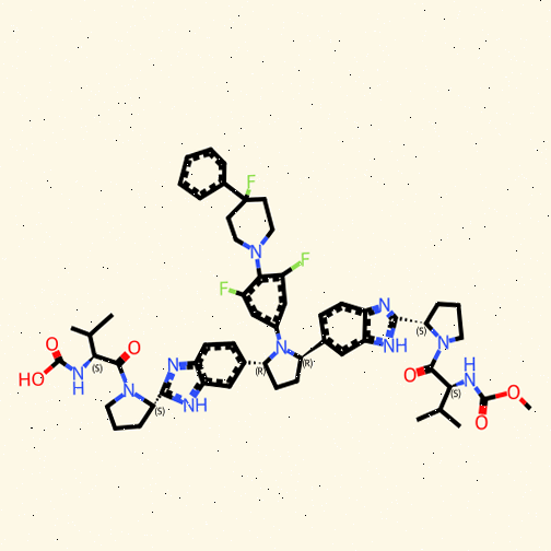 COC(=O)N[C@H](C(=O)N1CCC[C@H]1c1nc2ccc([C@H]3CC[C@H](c4ccc5nc([C@@H]6CCCN6C(=O)[C@@H](NC(=O)O)C(C)C)[nH]c5c4)N3c3cc(F)c(N4CCC(F)(c5ccccc5)CC4)c(F)c3)cc2[nH]1)C(C)C